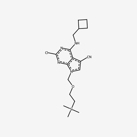 C[Si](C)(C)CCOCn1cc(C#N)c2c(NCC3CCC3)nc(Cl)nc21